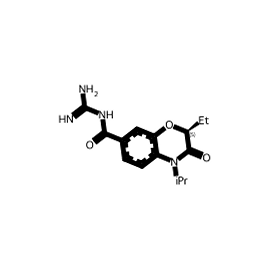 CC[C@@H]1Oc2cc(C(=O)NC(=N)N)ccc2N(C(C)C)C1=O